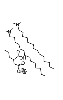 Br.Br.CCCC(CC(=O)O)C(=O)O.CCCCCCCCCCCCCCN(C)C.CCCCCCCCCCCCCCN(C)C